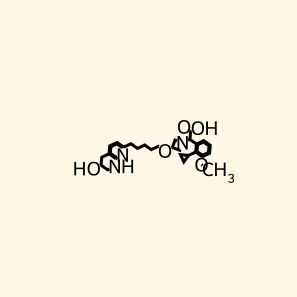 COc1cccc(C(C(=O)O)N2CC(OCCCCCc3ccc4c(n3)NCC(O)C4)C2)c1C1CC1